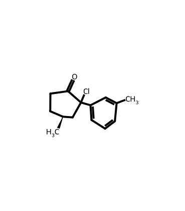 Cc1cccc(C2(Cl)C[C@@H](C)CCC2=O)c1